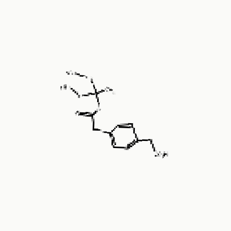 CCCCOC(C)(OCCCC)OC(=O)Cc1ccc(CC(=O)O)cc1